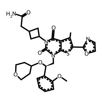 COc1ccccc1[C@H](Cn1c(=O)n(C2CC(CC(N)=O)C2)c(=O)c2c(C)c(-c3ncco3)sc21)OC1CCOCC1